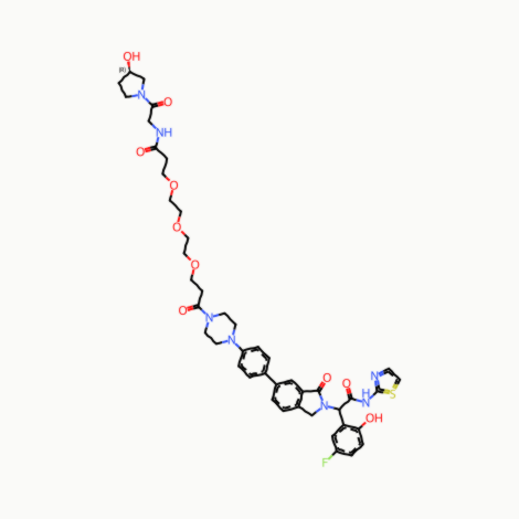 O=C(CCOCCOCCOCCC(=O)N1CCN(c2ccc(-c3ccc4c(c3)C(=O)N(C(C(=O)Nc3nccs3)c3cc(F)ccc3O)C4)cc2)CC1)NCC(=O)N1CC[C@@H](O)C1